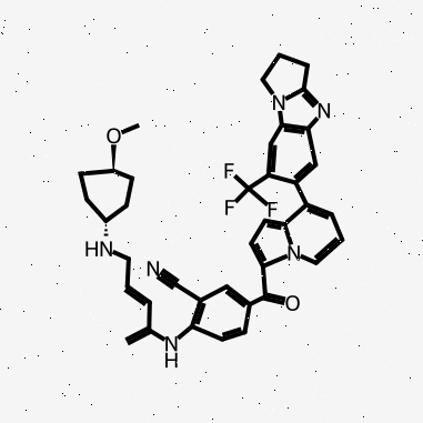 C=C(/C=C/CN[C@H]1CC[C@H](OC)CC1)Nc1ccc(C(=O)c2ccc3c(-c4cc5nc6n(c5cc4C(F)(F)F)CCC6)cccn23)cc1C#N